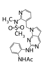 CC(=O)Nc1ccccc1Nc1ncc2ccn(Cc3cccnc3N(C)S(C)(=O)=O)c2n1